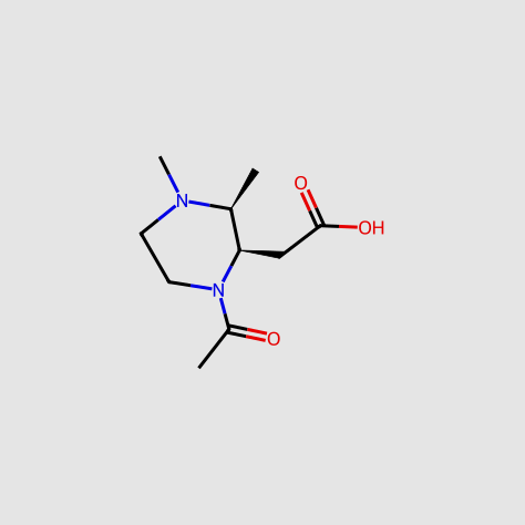 CC(=O)N1CCN(C)[C@@H](C)[C@H]1CC(=O)O